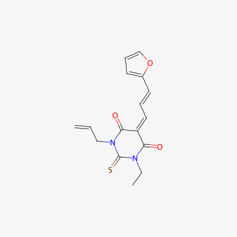 C=CCN1C(=O)/C(=C\C=C\c2ccco2)C(=O)N(CC)C1=S